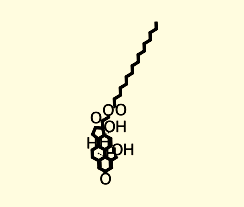 CCCCCCCCCCCCCCCC(=O)OCC(=O)[C@@]1(O)CC[C@H]2[C@@H]3CCC4=CC(=O)C=C(C)[C@]4(C)[C@H]3C(O)C[C@@]21C